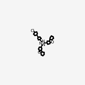 Clc1ccc(-c2ccc(-c3nc(-c4ccc5oc6ccccc6c5c4)nc(-c4ccc5oc6ccccc6c5c4)n3)cc2)cc1